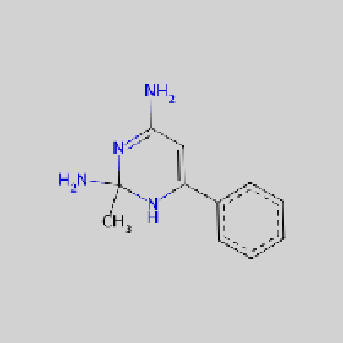 CC1(N)N=C(N)C=C(c2ccccc2)N1